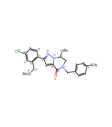 CCCCC1CN(Cc2ccc(C#N)cc2)C(=O)c2cc(-c3ccc(Cl)cc3COC)nn21